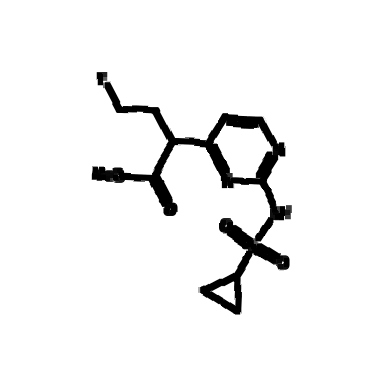 COC(=O)C(CCF)c1ccnc(NS(=O)(=O)C2CC2)n1